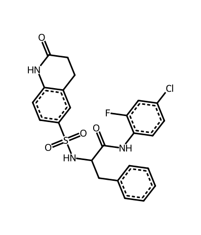 O=C1CCc2cc(S(=O)(=O)NC(Cc3ccccc3)C(=O)Nc3ccc(Cl)cc3F)ccc2N1